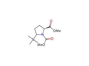 COC(=O)[C@@H]1CCC([Si](C)(C)C)N1C(=O)OC